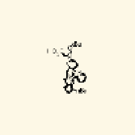 CCCCc1cccc(CN(Cc2cccc(N(COC(C)(C)C)CC(=O)O)n2)S(=O)(=O)c2ccccn2)c1